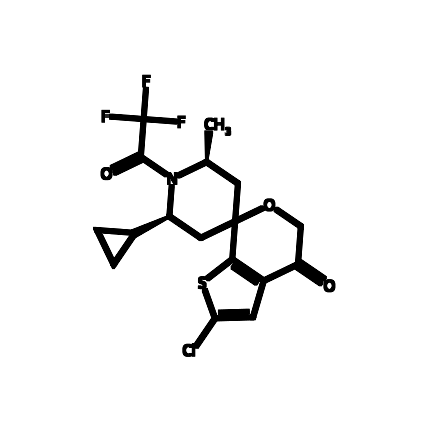 C[C@H]1CC2(C[C@@H](C3CC3)N1C(=O)C(F)(F)F)OCC(=O)c1cc(Cl)sc12